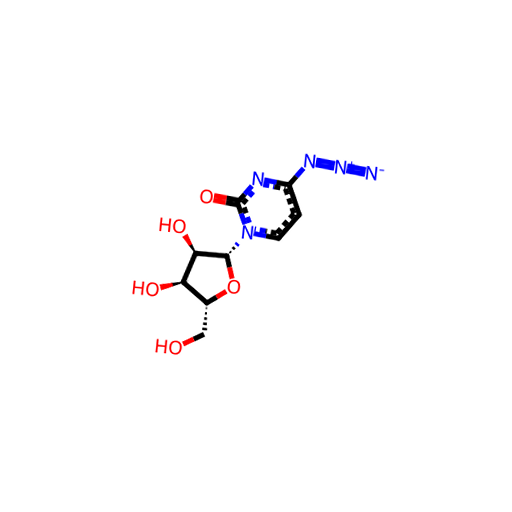 [N-]=[N+]=Nc1ccn([C@@H]2O[C@H](CO)[C@@H](O)[C@H]2O)c(=O)n1